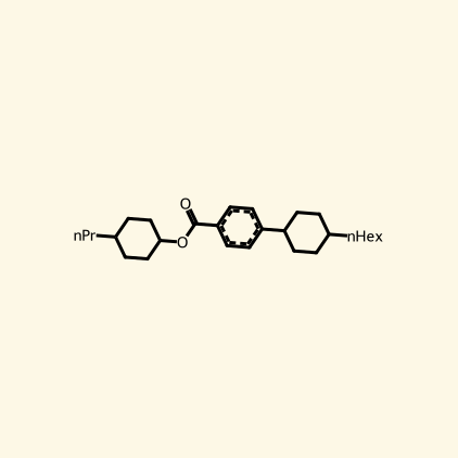 CCCCCCC1CCC(c2ccc(C(=O)OC3CCC(CCC)CC3)cc2)CC1